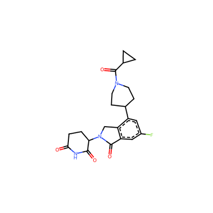 O=C1CCC(N2Cc3c(cc(F)cc3C3CCN(C(=O)C4CC4)CC3)C2=O)C(=O)N1